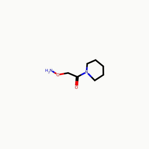 NOCC(=O)N1CCCCC1